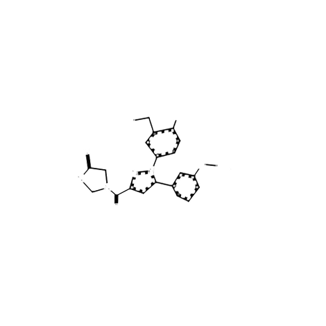 COc1cccc(-c2cc(C(=O)N3CNC(=O)C3)nn2-c2ccc(F)c(CI)c2)c1